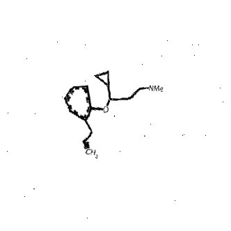 C=CCc1ccccc1OC(CCNC)C1CC1